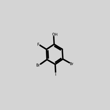 Oc1cc(Br)c(I)c(Br)c1F